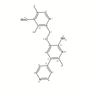 COc1c(C)cnc(COc2cc(-c3ccncc3)c(C)nc2N)c1C